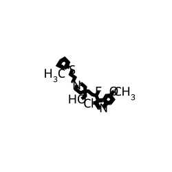 COc1ccc2ncc(Cl)c(C(F)CCC3(CO)CCN(CCCSc4ccccc4C)CC3)c2c1